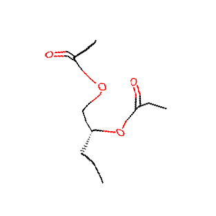 CC[C@H](COC(C)=O)OC(C)=O